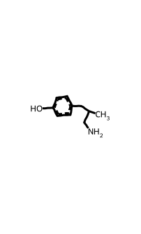 CC(CN)Cc1ccc(O)cc1